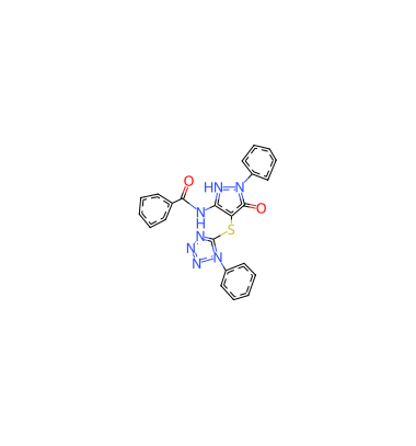 O=C(Nc1[nH]n(-c2ccccc2)c(=O)c1Sc1nnnn1-c1ccccc1)c1ccccc1